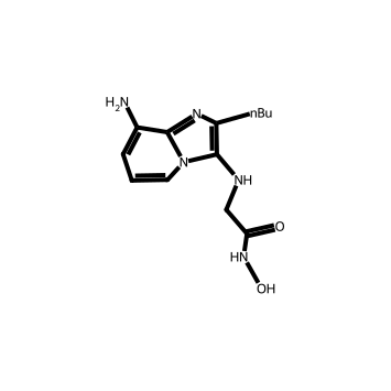 CCCCc1nc2c(N)cccn2c1NCC(=O)NO